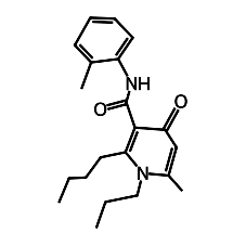 CCCCc1c(C(=O)Nc2ccccc2C)c(=O)cc(C)n1CCC